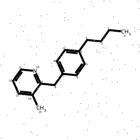 CCCCc1ccc(Cc2ncccc2C)cc1